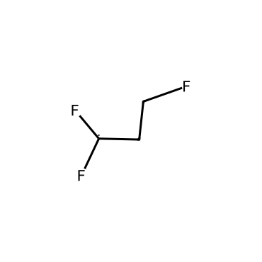 FCC[C](F)F